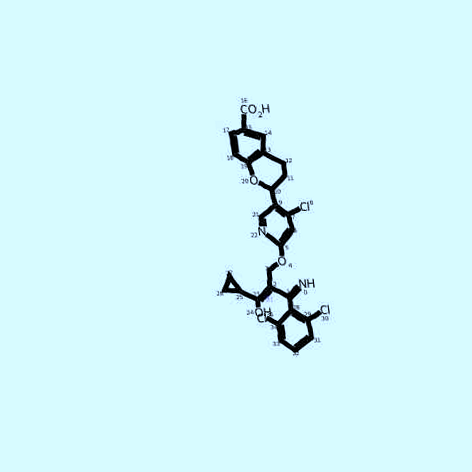 N=C(/C(COc1cc(Cl)c(C2CCc3cc(C(=O)O)ccc3O2)cn1)=C(\O)C1CC1)c1c(Cl)cccc1Cl